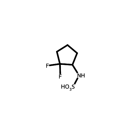 O=S(=O)(O)NC1CCCC1(F)F